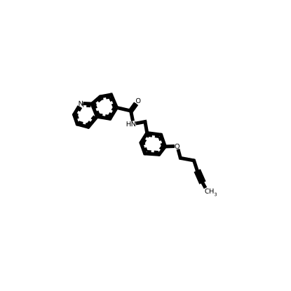 CC#CCCOc1cccc(CNC(=O)c2ccc3ncccc3c2)c1